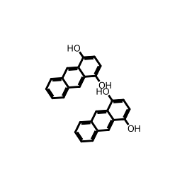 Oc1ccc(O)c2cc3ccccc3cc12.Oc1ccc(O)c2cc3ccccc3cc12